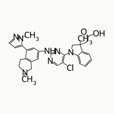 CN1CCc2c(cc(Nc3ncc(Cl)c(N4CC(C)(CC(=O)O)c5ccccc54)n3)cc2-c2ccnn2C)C1